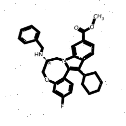 COC(=O)c1ccc2c(C3CCCCC3)c3n(c2c1)C[C@@H](NCc1ccccc1)COc1cc(F)ccc1-3